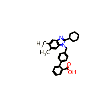 Cc1cc2nc(C3CCCCC3)n(Cc3ccc(-c4ccccc4C(=O)O)cc3)c2cc1C